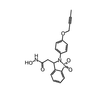 CC#CCOc1ccc(N2C(CC(=O)NO)c3ccccc3S2(=O)=O)cc1